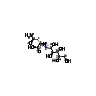 NC(=O)C[C@H](/N=C/C(O)C(O)C(O)C(O)CO)C(=O)O